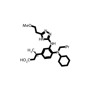 COCCc1nnc(Nc2cc([C@H](C)CC(=O)O)ccc2N(CC(C)C)C2CCCCC2)[nH]1